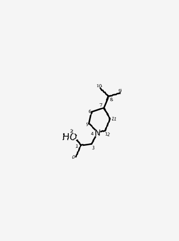 CC(O)CN1CCC(C(C)C)CC1